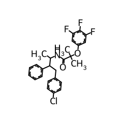 CC(NC(=O)C(C)(C)Oc1cc(F)c(F)c(F)c1)C(Cc1ccc(Cl)cc1)c1ccccc1